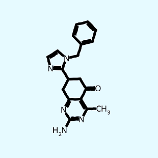 Cc1nc(N)nc2c1C(=O)CC(c1nccn1Cc1ccccc1)C2